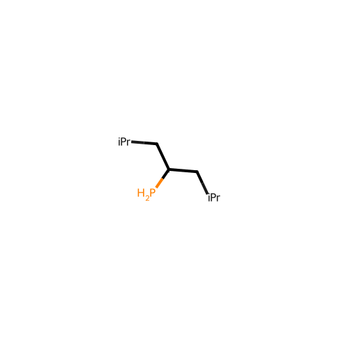 CC(C)C[C](P)CC(C)C